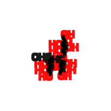 O=C(CO)[C@@H](O)[C@H](O)[C@H](O)CO.O=C[C@@H](O)[C@H](O)[C@H](O)CO.O=C[C@H](O)[C@@H](O)[C@H](O)[C@H](O)CO